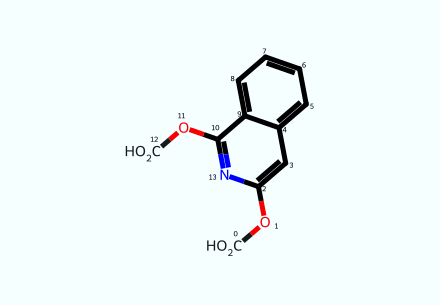 O=C(O)Oc1cc2ccccc2c(OC(=O)O)n1